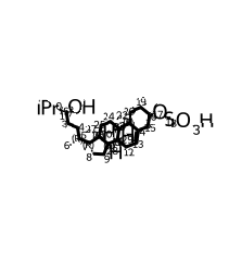 CC(C)[C@@H](O)CC[C@@H](C)[C@H]1CC[C@H]2[C@@H]3CC=C4CC(OS(=O)(=O)O)CC[C@]4(C)[C@H]3CC[C@]12C